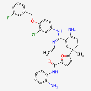 C=C/N=C(/Nc1ccc(OCc2cccc(F)c2)c(Cl)c1)C1=CC(C)(c2ccc(C(=O)Nc3ccccc3N)o2)CC=C1N